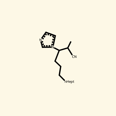 CCCCCCCCCCC(C(C)C#N)n1ccnc1